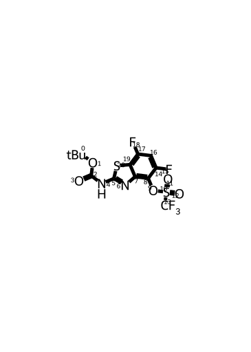 CC(C)(C)OC(=O)Nc1nc2c(OS(=O)(=O)C(F)(F)F)c(F)cc(F)c2s1